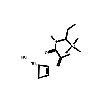 C1=CCC1.C=C(C)C(=O)N(C)C(CC)[N+](C)(C)C.Cl.N